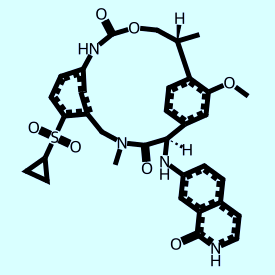 COc1cc2ccc1[C@@H](C)COC(=O)Nc1ccc(S(=O)(=O)C3CC3)c(c1)CN(C)C(=O)[C@@H]2Nc1ccc2cc[nH]c(=O)c2c1